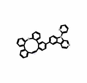 C1=C\c2ccc(-c3ccc4c(c3)c3ccncc3n4-c3ccccn3)cc2-c2ccccc2Sc2ccccc2-c2ccccc2/1